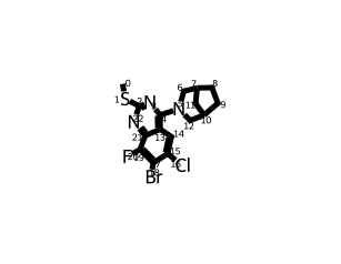 CSc1nc(N2CC3CCC(C3)C2)c2cc(Cl)c(Br)c(F)c2n1